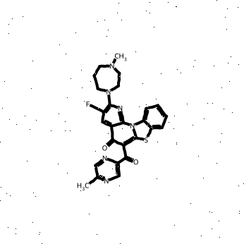 Cc1cnc(C(=O)c2c(=O)c3cc(F)c(N4CCCN(C)CC4)nc3n3c2sc2ccccc23)cn1